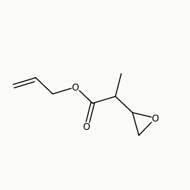 C=CCOC(=O)C(C)C1CO1